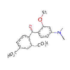 CCOc1cc(N(C)C)ccc1C(=O)c1ccc(C(=O)O)cc1C(=O)O